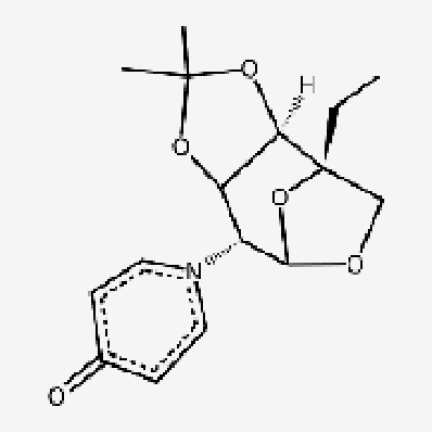 CC[C@@]12COC(O1)[C@H](n1ccc(=O)cc1)C1OC(C)(C)O[C@H]12